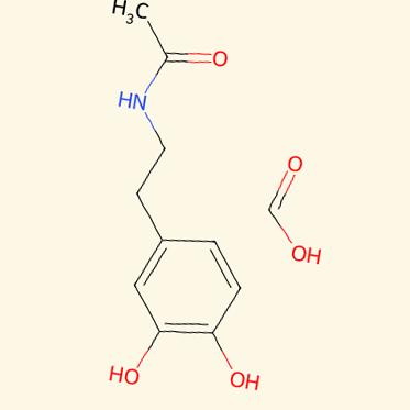 CC(=O)NCCc1ccc(O)c(O)c1.O=CO